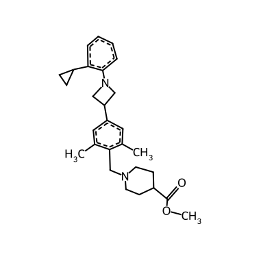 COC(=O)C1CCN(Cc2c(C)cc(C3CN(c4ccccc4C4CC4)C3)cc2C)CC1